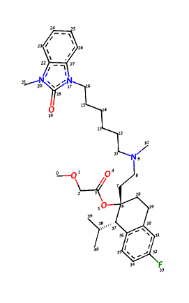 COCC(=O)O[C@]1(CCN(C)CCCCCCn2c(=O)n(C)c3ccccc32)CCc2cc(F)ccc2[C@@H]1C(C)C